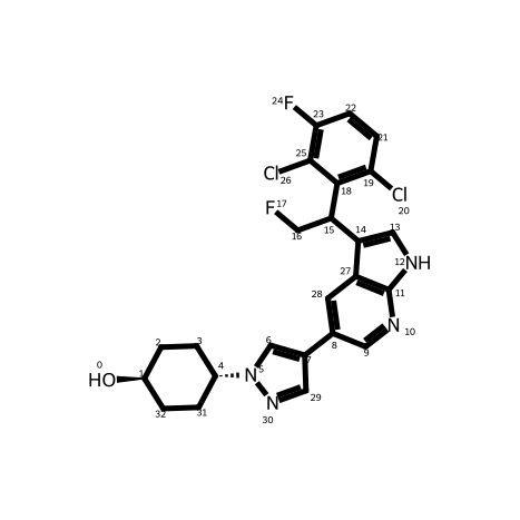 O[C@H]1CC[C@H](n2cc(-c3cnc4[nH]cc(C(CF)c5c(Cl)ccc(F)c5Cl)c4c3)cn2)CC1